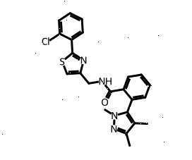 Cc1nn(C)c(-c2ccccc2C(=O)NCc2csc(-c3ccccc3Cl)n2)c1C